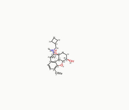 CCC[C@@]12c3c4ccc(OC)c3OC1[C@H](O)CCC2(O)C(N(C)CC1CCC1)C4